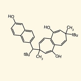 CC(C)(C)C(c1ccc2cc(O)ccc2c1)C1(C)C=CC2=C(C=CC(C)(C(C)(C)C)C=C2O)C(O)=C1